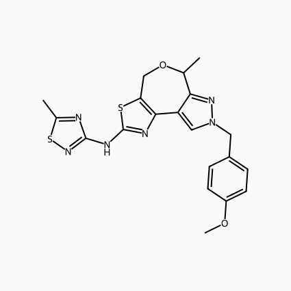 COc1ccc(Cn2cc3c(n2)C(C)OCc2sc(Nc4nsc(C)n4)nc2-3)cc1